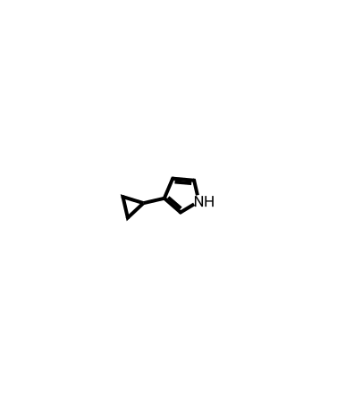 c1cc(C2CC2)c[nH]1